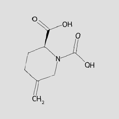 C=C1CC[C@@H](C(=O)O)N(C(=O)O)C1